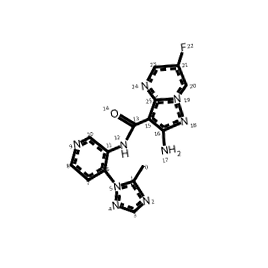 Cc1ncnn1-c1ccncc1NC(=O)c1c(N)nn2cc(F)cnc12